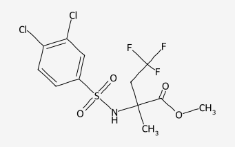 COC(=O)C(C)(CC(F)(F)F)NS(=O)(=O)c1ccc(Cl)c(Cl)c1